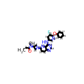 C=CC(=O)N(C)C1CN(c2ccc3ncnc(Nc4cnc(Oc5ccccc5)c(F)c4)c3n2)C1